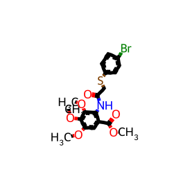 COC(=O)c1cc(OC)c(OC)c(OC)c1NC(=O)CSc1ccc(Br)cc1